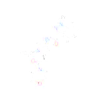 CC(C)n1nc(C(=O)N[C@H]2C[C@@H](CC(=O)N3CCOCC3)N(C(=O)O)C2)c2ccccc21